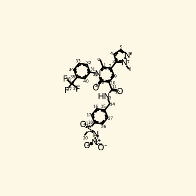 Cc1c(-c2ccnn2C)cc(C(=O)NCc2ccc(S(C)(=O)=N[N+](=O)[O-])cc2)c(=O)n1-c1cccc(C(F)(F)F)c1